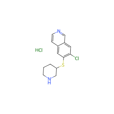 Cl.Clc1cc2cnccc2cc1SC1CCCNC1